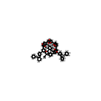 N#Cc1ccc(-c2c(-n3c4ccccc4c4cc(-c5ccc6c(c5)c5c(n6-c6ccccc6)CCC=C5)ccc43)c(-n3c4ccccc4c4ccccc43)c(-n3c4ccccc4c4ccccc43)c(-n3c4ccccc4c4ccccc43)c2-n2c3ccccc3c3cc(-c4ccc5c(c4)c4ccccc4n5-c4ccccc4)ccc32)cc1